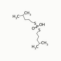 CC(C)CCCSP(=O)(O)SCCCC(C)C